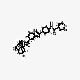 O=C(Nc1ccc(-c2nc3cc(C(=O)NC4[C@H]5C[C@@H]6C[C@@H](C[C@H]4C6)C5)ccc3[nH]2)cc1)c1ccncc1